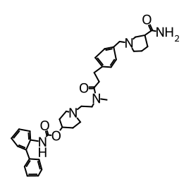 CN(CCN1CCC(OC(=O)Nc2ccccc2-c2ccccc2)CC1)C(=O)CCc1ccc(CN2CCCC(C(N)=O)C2)cc1